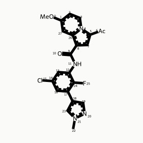 COc1ccn2c(C(C)=O)cc(C(=O)Nc3cc(Cl)cc(-c4cnn(C)c4)c3F)c2c1